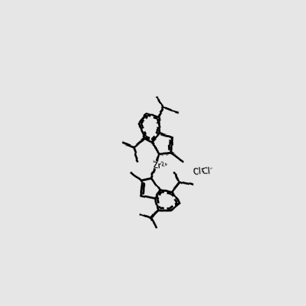 CC1=Cc2c(C(C)C)ccc(C(C)C)c2[CH]1[Zr+2][CH]1C(C)=Cc2c(C(C)C)ccc(C(C)C)c21.[Cl-].[Cl-]